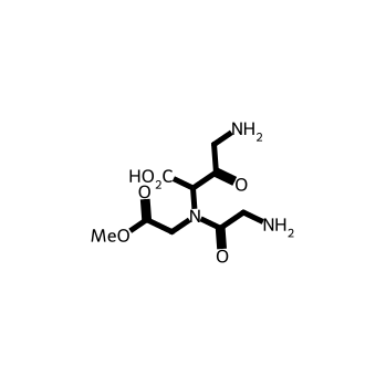 COC(=O)CN(C(=O)CN)C(C(=O)O)C(=O)CN